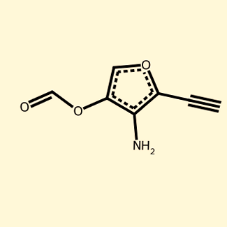 C#Cc1occ(OC=O)c1N